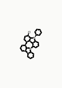 Clc1ccc2c3cccc4c5ccccc5n(c5cccc6c5c2c1n6-c1ccccc1)c34